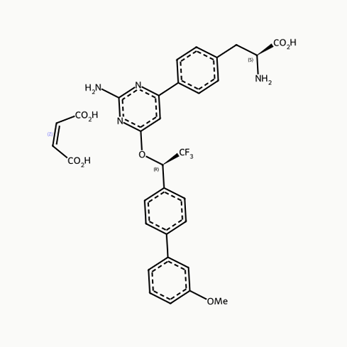 COc1cccc(-c2ccc([C@@H](Oc3cc(-c4ccc(C[C@H](N)C(=O)O)cc4)nc(N)n3)C(F)(F)F)cc2)c1.O=C(O)/C=C\C(=O)O